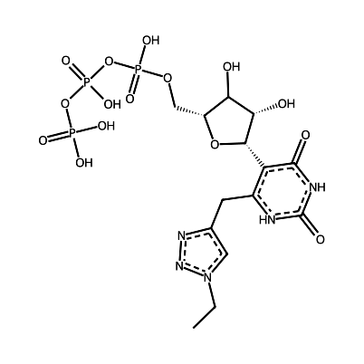 CCn1cc(Cc2[nH]c(=O)[nH]c(=O)c2[C@@H]2O[C@H](COP(=O)(O)OP(=O)(O)OP(=O)(O)O)C(O)[C@@H]2O)nn1